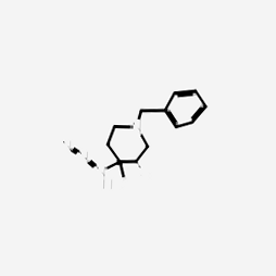 CC1(N=[N+]=[N-])CCN(Cc2ccccc2)C[C@H]1O